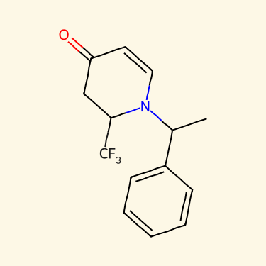 CC(c1ccccc1)N1C=CC(=O)CC1C(F)(F)F